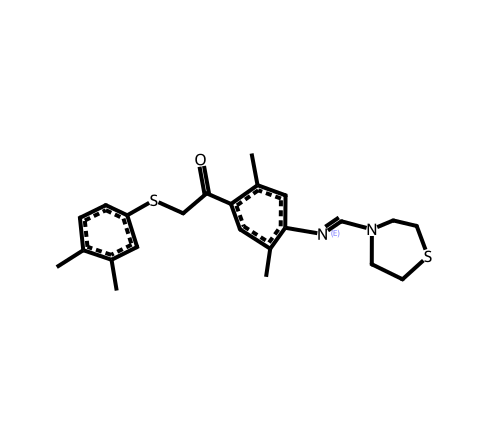 Cc1ccc(SCC(=O)c2cc(C)c(/N=C/N3CCSCC3)cc2C)cc1C